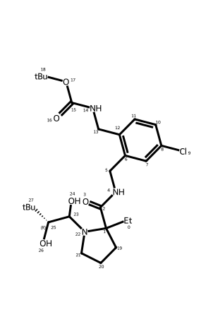 CCC1(C(=O)NCc2cc(Cl)ccc2CNC(=O)OC(C)(C)C)CCCN1C(O)[C@H](O)C(C)(C)C